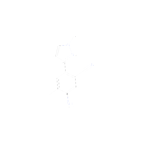 Cc1cc(-c2ccn(C)n2)c(C#N)cc1N